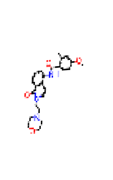 COc1ccc(C(=O)Nc2cccc3c(=O)n(CCN4CCOCC4)ccc23)c(C)c1